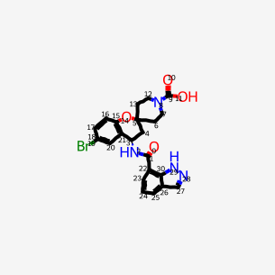 O=C(N[C@H]1CC2(CCN(C(=O)O)CC2)Oc2ccc(Br)cc21)c1cccc2cn[nH]c12